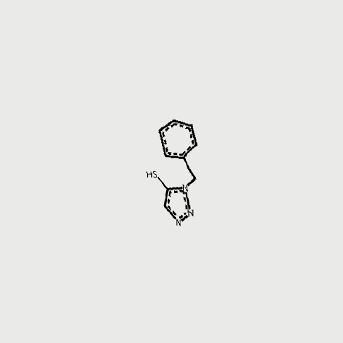 Sc1cnnn1Cc1ccccc1